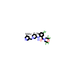 CNc1cncc(CN2CCC[C@@H](Nc3c(C(=O)N4CC(F)(F)OC(F)(F)C4)cc(Br)cc3[N+](=O)[O-])C2)c1